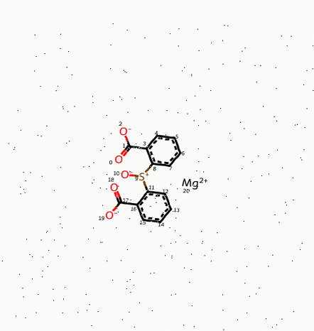 O=C([O-])c1ccccc1[S+]([O-])c1ccccc1C(=O)[O-].[Mg+2]